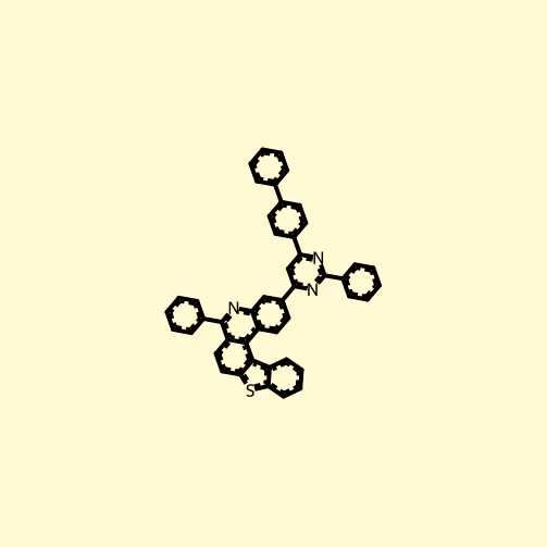 c1ccc(-c2ccc(-c3cc(-c4ccc5c(c4)nc(-c4ccccc4)c4ccc6sc7ccccc7c6c45)nc(-c4ccccc4)n3)cc2)cc1